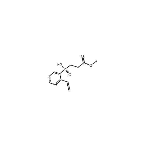 C=Cc1ccccc1P(=O)(O)CCC(=O)OC